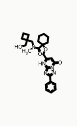 CN(CC1(CO)CCC1)C(=O)C1(OCc2cc(=O)n3nc(-c4ccccc4)nc3[nH]2)CCCCC1